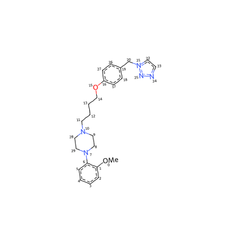 COc1ccccc1N1CCN(CCCCOc2ccc(Cn3ccnn3)cc2)CC1